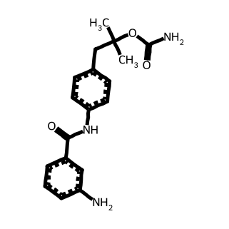 CC(C)(Cc1ccc(NC(=O)c2cccc(N)c2)cc1)OC(N)=O